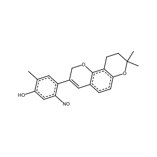 Cc1cc(C2=Cc3ccc4c(c3OC2)CCC(C)(C)O4)c(N=O)cc1O